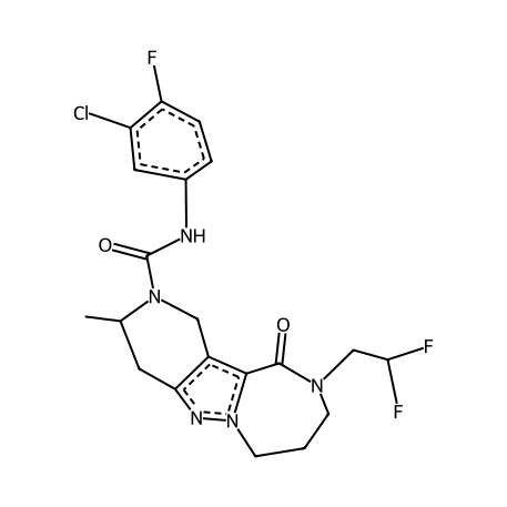 CC1Cc2nn3c(c2CN1C(=O)Nc1ccc(F)c(Cl)c1)C(=O)N(CC(F)F)CCC3